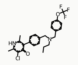 CCCN(Cc1ccc(OC(F)(F)F)cc1)Cc1ccc(-c2c(C)[nH]c(C)c(Cl)c2=O)cc1